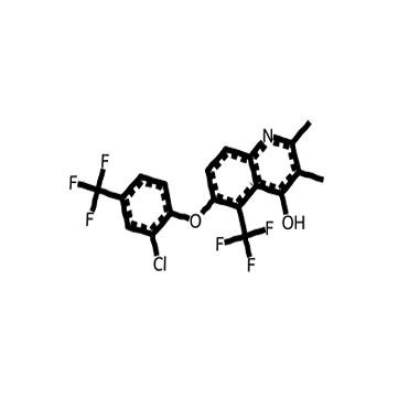 Cc1nc2ccc(Oc3ccc(C(F)(F)F)cc3Cl)c(C(F)(F)F)c2c(O)c1C